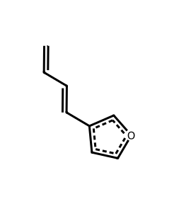 [CH]=CC=Cc1ccoc1